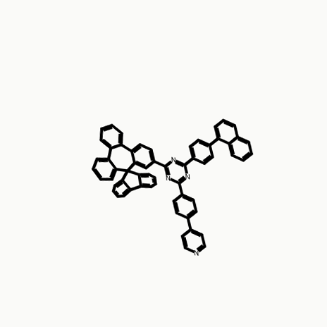 c1ccc2c(c1)-c1ccccc1C1(c3cc(-c4nc(-c5ccc(-c6ccncc6)cc5)nc(-c5ccc(-c6cccc7ccccc67)cc5)n4)ccc3-2)c2ccccc2-c2ccccc21